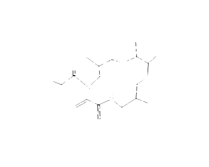 C=CC(=O)NCC(C)COC(C)C(C)OCC(C)CNC(=O)CC